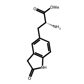 COC(=O)[C@H](N)Cc1ccc2c(c1)CC(=O)N2